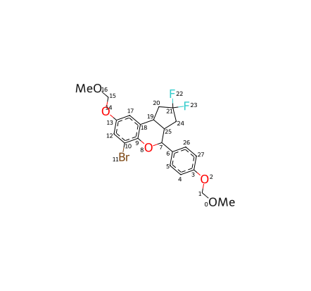 COCOc1ccc(C2Oc3c(Br)cc(OCOC)cc3C3CC(F)(F)CC32)cc1